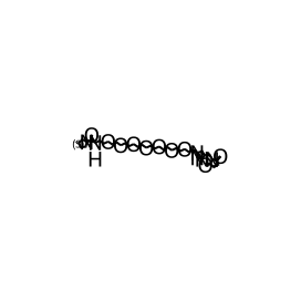 C[C@H]1CCN(C(=O)NCCOCCOCCOCCOCCOCCOCCOCCn2cc(CN3C(=O)C=CC3=O)nn2)C1